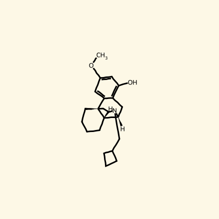 COc1cc(O)c2c(c1)[C@@]13CCCC[C@H]1[C@@H](C2)N(CC1CCC1)CC3